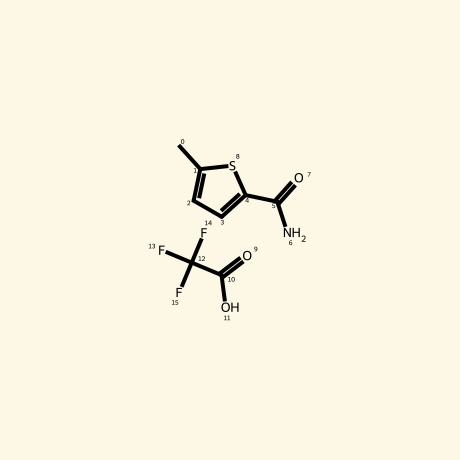 Cc1ccc(C(N)=O)s1.O=C(O)C(F)(F)F